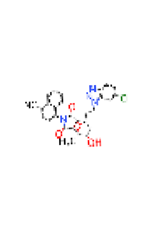 CC12OC(CCn3nnc4ccc(Cl)cc43)(CC1O)C1C(=O)N(c3ccc(C#N)c4ccccc34)C(=O)C12